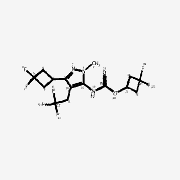 Cn1nc(C2CC(F)(F)C2)c(CC(F)(F)F)c1NC(=O)OC1CC(F)(F)C1